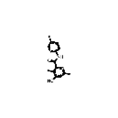 Cc1cc(C#N)c(C)c(C(=O)Nc2ccc(F)cn2)n1